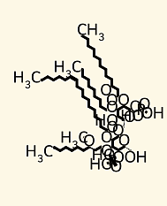 CCCCCC/C=C\CCCCCCCCCC(=O)O[C@H]1[C@H](OC[C@H]2O[C@H](OP(=O)(O)O)[C@H](OC(=O)CC(=O)CCCCCCCCCCC)[C@@H](OCCCCCCCCCC)[C@@H]2O)O[C@H](CO)[C@@H](OP(=O)(O)O)[C@@H]1OCC[C@@H](CCCCCCC)OC